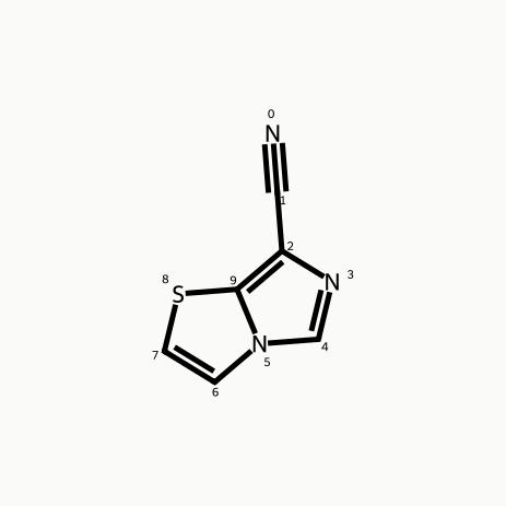 N#Cc1ncn2ccsc12